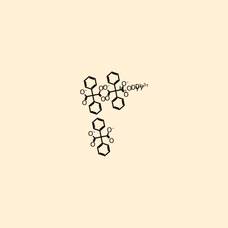 O.O=C([O-])C(C(=O)[O-])(c1ccccc1)c1ccccc1.O=C([O-])C(C(=O)[O-])(c1ccccc1)c1ccccc1.O=C([O-])C(C(=O)[O-])(c1ccccc1)c1ccccc1.[Dy+3].[Dy+3]